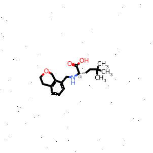 CC(C)(C)CC[C@H](NCc1cccc2c1COCC2)C(=O)O